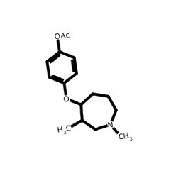 CC(=O)Oc1ccc(OC2CCCN(C)CC2C)cc1